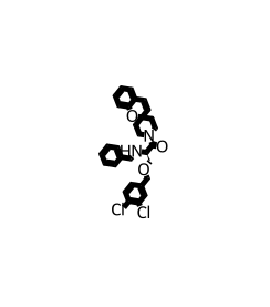 O=C([C@H](COCc1ccc(Cl)c(Cl)c1)NCc1ccccc1)N1CCC2(C=Cc3ccccc3O2)CC1